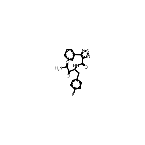 NC(=O)C(=O)C(Cc1ccc(F)cc1)NC(=O)c1nsnc1-c1ccccc1